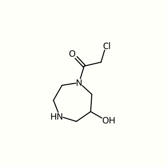 O=C(CCl)N1CCNCC(O)C1